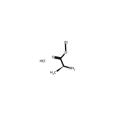 CCOC(=O)[C@H](C)N.Cl